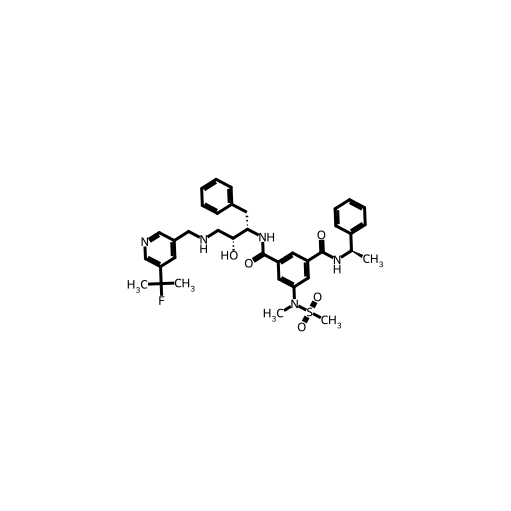 C[C@@H](NC(=O)c1cc(C(=O)N[C@@H](Cc2ccccc2)[C@H](O)CNCc2cncc(C(C)(C)F)c2)cc(N(C)S(C)(=O)=O)c1)c1ccccc1